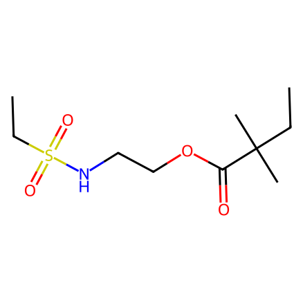 CCC(C)(C)C(=O)OCCNS(=O)(=O)CC